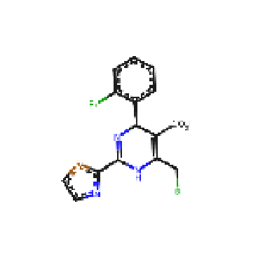 O=C(O)C1=C(CBr)NC(c2nccs2)=N[C@H]1c1ccccc1Br